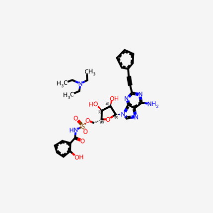 CCN(CC)CC.Nc1nc(C#Cc2ccccc2)nc2c1ncn2[C@@H]1O[C@H](COS(=O)(=O)NC(=O)c2ccccc2O)[C@@H](O)[C@H]1O